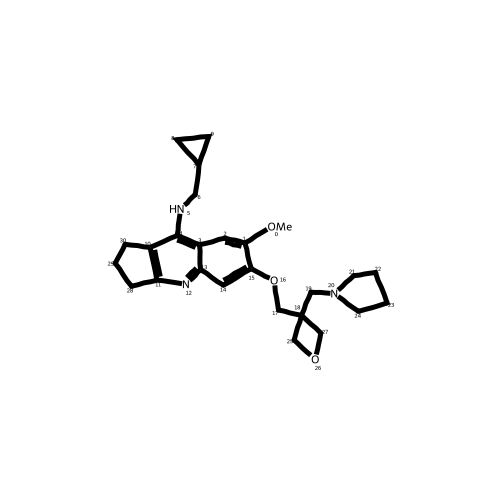 COc1cc2c(NCC3CC3)c3c(nc2cc1OCC1(CN2CCCC2)COC1)CCC3